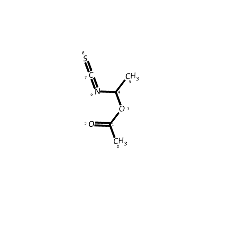 CC(=O)OC(C)N=C=S